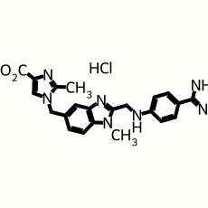 Cc1nc(C(=O)O)cn1Cc1ccc2c(c1)nc(CNc1ccc(C(=N)N)cc1)n2C.Cl